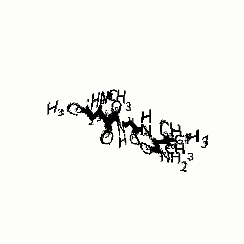 CCCC(NC)C(=O)C(=O)NCC(=O)NC(C(N)=O)C(C)(C)C